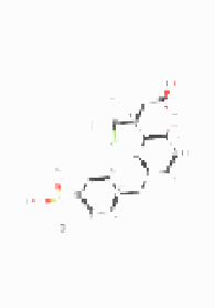 O=c1cc(C(F)(F)F)c2cc(Cc3ccc(S(=O)(=O)Cl)cc3)ccc2o1